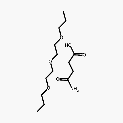 CCCOCCOCCOCCC.NC(=O)CCC(=O)O